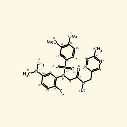 CCN(Cc1cnc(C)cn1)C(=O)CN(c1cc(N(C)C)ccc1Cl)S(=O)(=O)c1ccc(OC)c(OC)c1